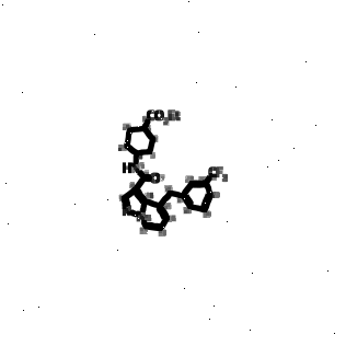 CCOC(=O)C1CCC(NC(=O)c2cnn3cccc(Cc4cccc(C(F)(F)F)c4)c23)CC1